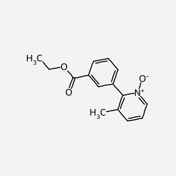 CCOC(=O)c1cccc(-c2c(C)ccc[n+]2[O-])c1